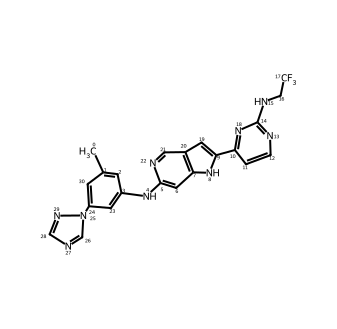 Cc1cc(Nc2cc3[nH]c(-c4ccnc(NCC(F)(F)F)n4)cc3cn2)cc(-n2cncn2)c1